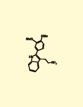 COc1ccc(-c2[nH]c3ccccc3c2CCN)cc1OC